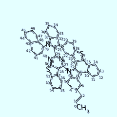 C/C=C/c1ccc2c(c1)c1c3ccccc3c3sc4ccccc4c3c1n2-c1nc(-c2cc3ccccc3n2-c2cccc3ccccc23)nc2sc3ccccc3c12